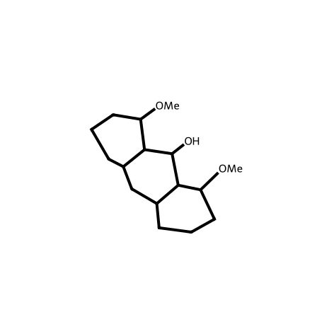 COC1CCCC2CC3CCCC(OC)C3C(O)C21